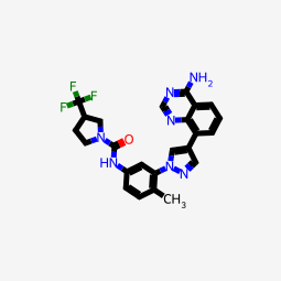 Cc1ccc(NC(=O)N2CCC(C(F)(F)F)C2)cc1-n1cc(-c2cccc3c(N)ncnc23)cn1